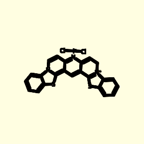 C1=CN2C(=c3cc4c(nc31)=CC[n+]1c-4sc3ccccc31)Sc1ccccc12.Cl[I-]Cl